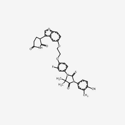 Cc1cc(N2C(=O)C(C)(C)N(c3ccc(OCCOc4ccc5occ(C6CCC(=O)NC6=O)c5c4)c(F)c3)C2=S)ccc1C#N